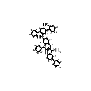 NC(c1cccc(-c2ccccc2)c1)N(Cc1ccc(Nc2cc(-c3ccccc3O)ccc2-c2ccccc2)cc1)NCc1ccccc1